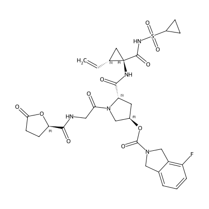 C=C[C@@H]1C[C@]1(NC(=O)[C@@H]1C[C@@H](OC(=O)N2Cc3cccc(F)c3C2)CN1C(=O)CNC(=O)[C@H]1CCC(=O)O1)C(=O)NS(=O)(=O)C1CC1